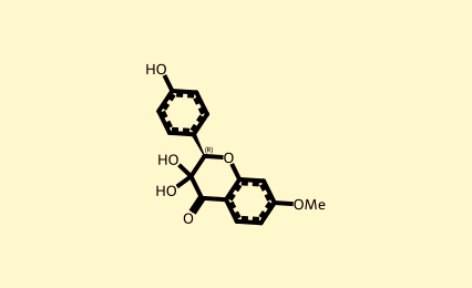 COc1ccc2c(c1)O[C@H](c1ccc(O)cc1)C(O)(O)C2=O